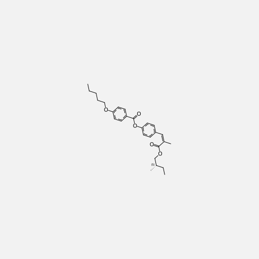 CCCCCOc1ccc(C(=O)Oc2ccc(C=C(C)C(=O)OC[C@@H](C)CC)cc2)cc1